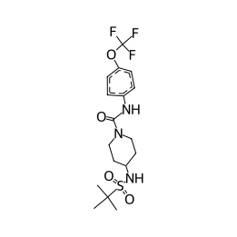 CC(C)(C)S(=O)(=O)NC1CCN(C(=O)Nc2ccc(OC(F)(F)F)cc2)CC1